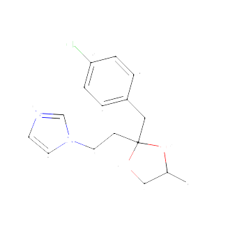 CC1COC(CCn2ccnc2)(Cc2ccc(Cl)cc2)O1